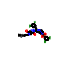 CCCCN1CC(C(=O)NC(Cc2cc(F)cc(F)c2)C[C@H]2CN(S(=O)(=O)c3cc(F)cc(F)c3)CCN2)CC1=O